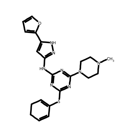 CN1CCN(c2nc(Nc3cc(-c4ccco4)[nH]n3)nc(SC3=CCCC=C3)n2)CC1